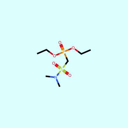 CCOP(=O)(CS(=O)(=O)N(C)C)OCC